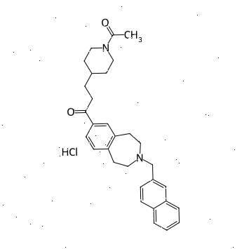 CC(=O)N1CCC(CCC(=O)c2ccc3c(c2)CCN(Cc2ccc4ccccc4c2)CC3)CC1.Cl